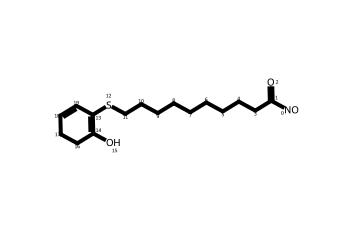 O=NC(=O)CCCCCCCCCSC1=C(O)CCC=C1